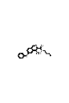 CCCCOC(=O)c1ncc2ccc(Sc3ccccc3)cc2c1O